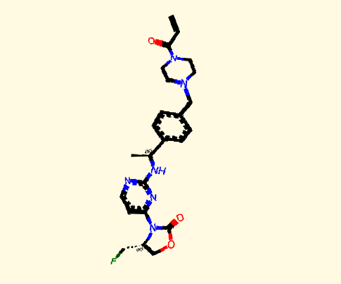 C=CC(=O)N1CCN(Cc2ccc([C@H](C)Nc3nccc(N4C(=O)OC[C@@H]4CF)n3)cc2)CC1